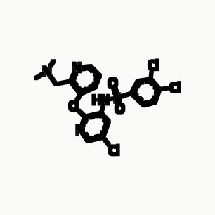 CN(C)Cc1ncccc1Oc1ncc(Cl)cc1NS(=O)(=O)c1ccc(Cl)c(Cl)c1